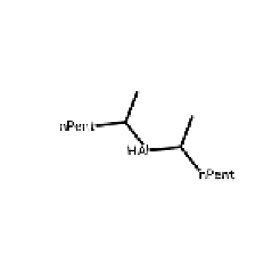 CCCCC[CH](C)[AlH][CH](C)CCCCC